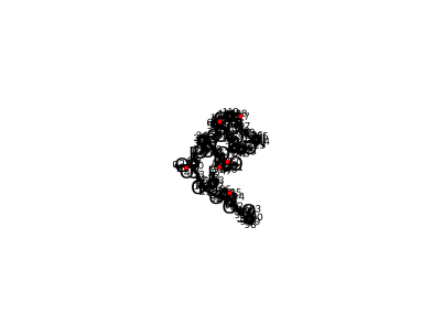 CCOC(=O)c1cc(F)ccc1SCCCC(=O)N(C)c1cccc(F)c1.COC(=O)c1ccccc1OCCCC(=O)N1CCc2ccc(OC)cc21.COC(=O)c1ccccc1SCCCC(=O)N1CCc2ccc(OC)cc21.COc1ccc2c(c1)N(C(=O)CCCSc1ccccc1OC)CC2.COc1ccc2c(c1)N(C(=O)CCCSc1ccncc1)CC2